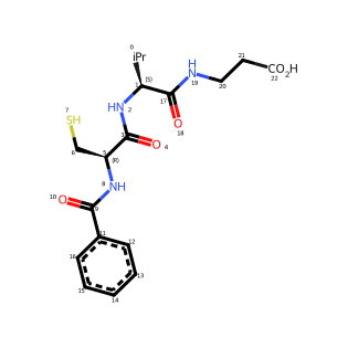 CC(C)[C@H](NC(=O)[C@H](CS)NC(=O)c1ccccc1)C(=O)NCCC(=O)O